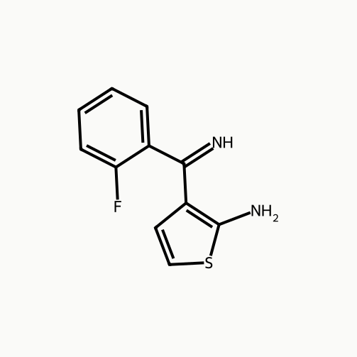 N=C(c1ccccc1F)c1ccsc1N